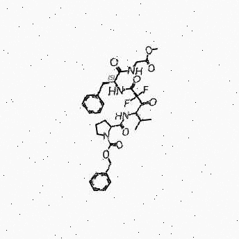 COC(=O)CNC(=O)[C@H](Cc1ccccc1)NC(=O)C(F)(F)C(=O)C(NC(=O)C1CCCN1C(=O)OCc1ccccc1)C(C)C